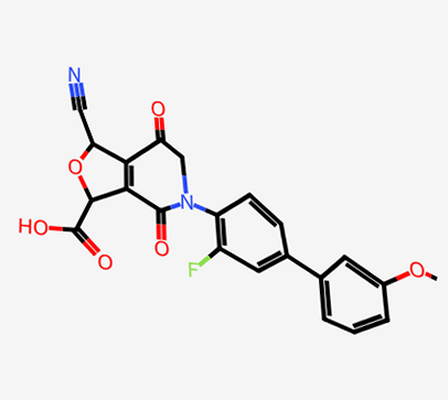 COc1cccc(-c2ccc(N3CC(=O)C4=C(C3=O)C(C(=O)O)OC4C#N)c(F)c2)c1